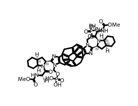 COC(=O)N[C@H](C(=O)N1[C@H](c2nc3cc(-c4cc5ccc4CCc4ccc(c(-c6ccc7c(c6)nc([C@@H]6C[C@@H]8CCCC[C@@H]8N6C(=O)[C@@H](NC(=O)OC)C(C)C)n7COP(=O)(O)P)c4)CC5)ccc3n2COP(=O)(O)O)C[C@@H]2CCCC[C@@H]21)C(C)C